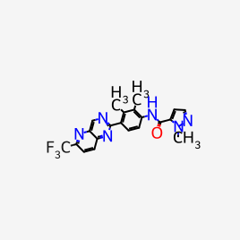 Cc1c(NC(=O)c2ccnn2C)ccc(-c2ncc3nc(C(F)(F)F)ccc3n2)c1C